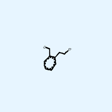 [O]CCc1ccccc1C[O]